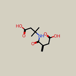 C=C(CC(=O)O)C(=O)NC(C)(C)CC(=O)O